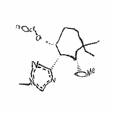 CCCCCCCCO[C@@H]1CCC(C)(C)[C@H](OC)[C@@H]1c1ncn(C)n1